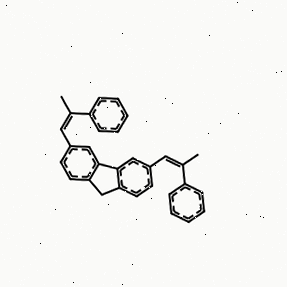 CC(=Cc1ccc2c(c1)-c1cc(C=C(C)c3ccccc3)ccc1C2)c1ccccc1